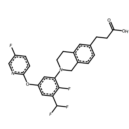 O=C(O)CCc1ccc2c(c1)CCN(c1cc(Oc3ccc(F)cn3)cc(C(F)F)c1F)C2